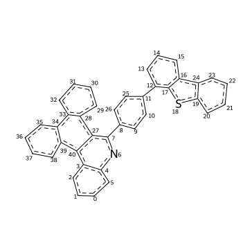 c1ccc2c(c1)nc(-c1ccc(-c3cccc4c3sc3ccccc34)cc1)c1c3ccccc3c3ccccc3c21